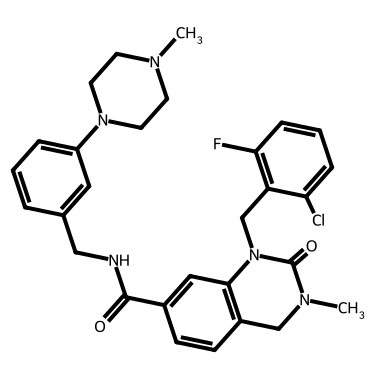 CN1CCN(c2cccc(CNC(=O)c3ccc4c(c3)N(Cc3c(F)cccc3Cl)C(=O)N(C)C4)c2)CC1